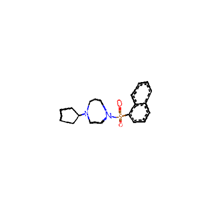 O=S(=O)(c1cccc2ccccc12)N1CCN(C2CCCC2)CC1